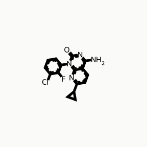 Nc1nc(=O)n(-c2cccc(Cl)c2F)c2nc(C3CC3)ccc12